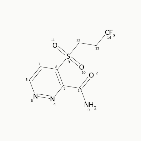 NC(=O)c1nnccc1S(=O)(=O)CCC(F)(F)F